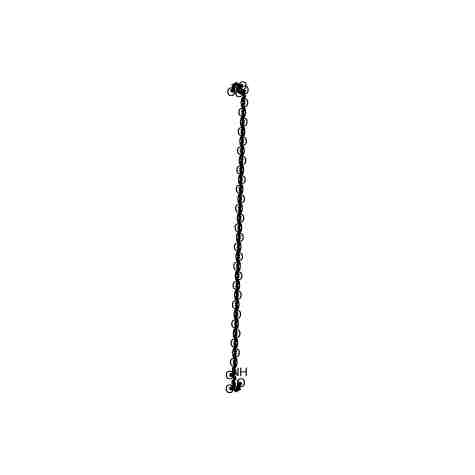 O=C(CCN1C(=O)C=CC1=O)NCCOCCOCCOCCOCCOCCOCCOCCOCCOCCOCCOCCOCCOCCOCCOCCOCCOCCOCCOCCOCCOCCOCCOCCOCCOCCOCCOCCOCCC(=O)ON1C(=O)CCC1=O